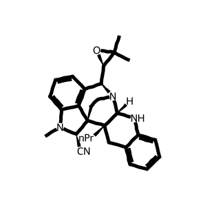 CCC[C@]12Cc3ccccc3N[C@H]1N1CC[C@@]23c2c(cccc2N(C)[C@@H]3C#N)[C@H]1[C@H]1OC1(C)C